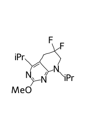 COc1nc(C(C)C)c2c(n1)N(C(C)C)CC(F)(F)C2